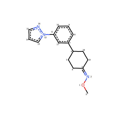 CON=C1CC[C](c2cccc(-n3cccn3)c2)CC1